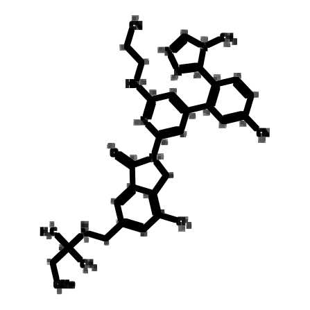 COCC(C)(C)NCc1cc2c(c(C(F)(F)F)c1)CN(c1cc(-c3cc(C#N)ccc3-c3nncn3C)cc(NCCC#N)n1)C2=O